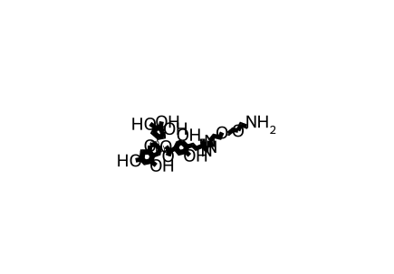 NCCOCCOCCn1cc(CCc2c(O)cc(C(=O)O[C@@H]3Cc4c(O)cc(O)cc4O[C@@H]3c3cc(O)c(O)c(O)c3)cc2O)nn1